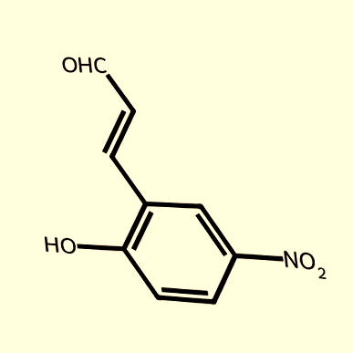 O=CC=Cc1cc([N+](=O)[O-])ccc1O